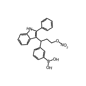 O=[N+]([O-])OCCC(c1cccc(B(O)O)c1)c1c(-c2ccccc2)[nH]c2ccccc12